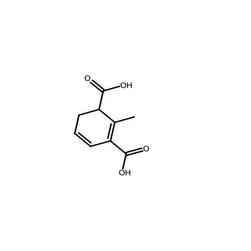 CC1=C(C(=O)O)C=CCC1C(=O)O